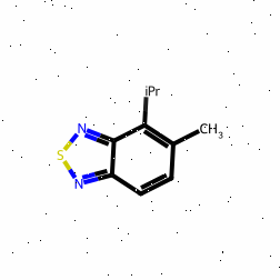 Cc1ccc2nsnc2c1C(C)C